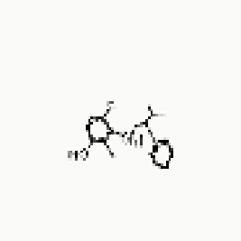 Cc1c(O)ccc(F)c1NCC(c1ccccc1)C(C)C